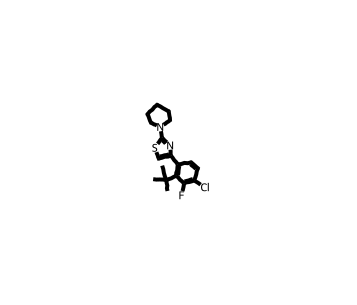 CC(C)(C)c1c(-c2csc(N3CCCCC3)n2)ccc(Cl)c1F